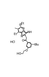 CCOc1nn2c(=N)n(CC(=O)c3cc(OCCO)cc(C(C)(C)C)c3)nc2c(CC)c1C.Cl